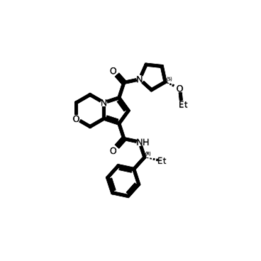 CCO[C@H]1CCN(C(=O)c2cc(C(=O)N[C@H](CC)c3ccccc3)c3n2CCOC3)C1